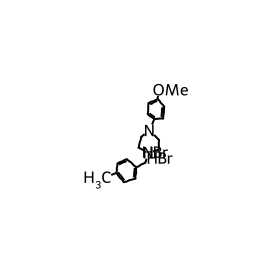 Br.Br.COc1ccc(N2CCN(Cc3ccc(C)cc3)CC2)cc1